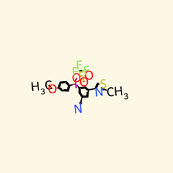 COc1ccc(I(OS(=O)(=O)C(F)(F)F)c2cc(C#N)cc(-c3csc(C)n3)c2)cc1